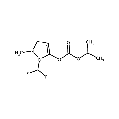 CC(C)OC(=O)OC1=CCN(C)N1C(F)F